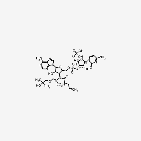 C=CCCC(=O)N(C1C(COP(=O)(O)O[C@H]2[C@@H](O)[C@H](n3ccc(N)nc3=O)O[C@@H]2COP(=O)(O)O)OC(n2cnc3c(N)ncnc32)C1O)[C@H](COCC(C)(C)O)C(=O)O